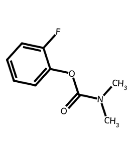 CN(C)C(=O)Oc1ccccc1F